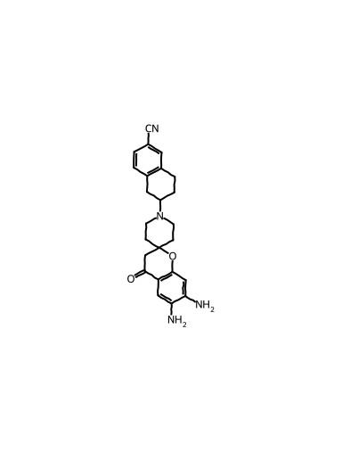 N#Cc1ccc2c(c1)CCC(N1CCC3(CC1)CC(=O)c1cc(N)c(N)cc1O3)C2